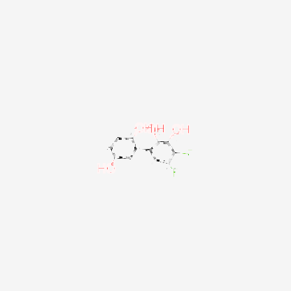 Oc1ccc(O)c(-c2cc(F)c(F)c(O)c2O)c1